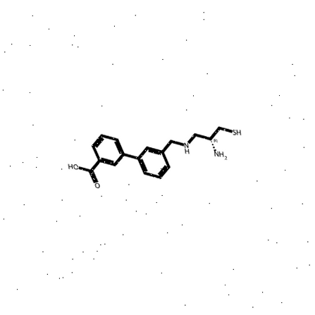 N[C@@H](CS)CNCc1cccc(-c2cccc(C(=O)O)c2)c1